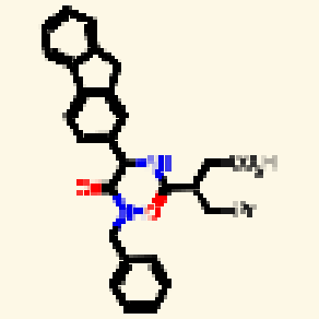 CC(C)C[C@H](CC(=O)O)C(=O)NC(C(=O)NCc1ccccc1)c1ccc2c(c1)Cc1ccccc1-2